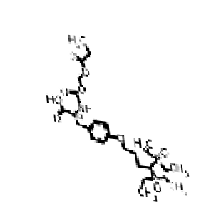 CCC(=O)OCOC(=O)N[C@@H](Cc1ccc(OCCCC(P(=O)(CC)CC)P(=O)(CC)CC)cc1)C(=O)O